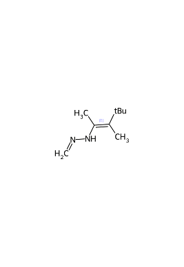 C=NN/C(C)=C(\C)C(C)(C)C